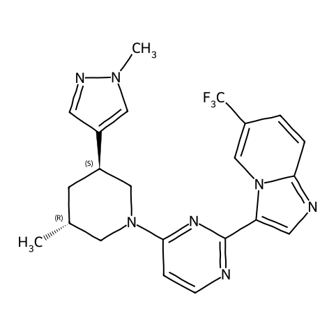 C[C@@H]1C[C@@H](c2cnn(C)c2)CN(c2ccnc(-c3cnc4ccc(C(F)(F)F)cn34)n2)C1